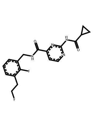 O=C(NCc1cccc(CCF)c1F)c1ccnc(NC(=O)C2CC2)n1